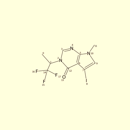 CC(n1cnc2c(c(I)cn2C)c1=O)C(F)(F)F